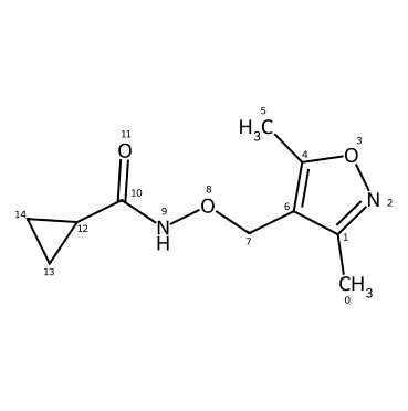 Cc1noc(C)c1CONC(=O)C1CC1